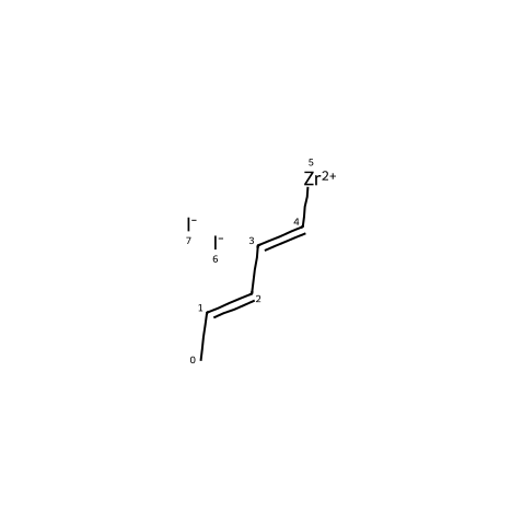 CC=CC=[CH][Zr+2].[I-].[I-]